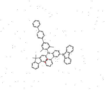 Cc1cc(-c2ccc(-c3ccccc3)cc2)cc(C)c1N(c1ccc2c(c1)C(C)(C)c1ccccc1-2)c1ccc(-n2c3ccccc3c3ccccc32)cc1-c1ccccc1